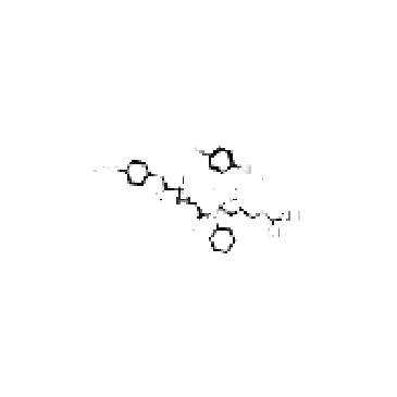 CC(=O)Oc1ccc(C[C@H](N)C(=O)NCC(=O)N(C2CCCCC2)[C@@](CCCNC(=N)N)(C(=O)O)S(C)(=O)=O)cc1.Nc1ccc([N+](=O)[O-])cc1